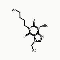 CCCCn1c(=O)n(CCCCC(C)=O)c(=O)c2c1ncn2CC(C)=O